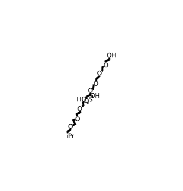 CC(C)CCOCCOCCOCCOCCOCCOCCOCCOCCO.O=S(=O)(O)O